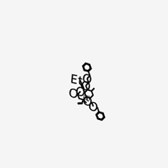 C=CC1(C)CC(=O)OC2(C#CCC)C(OCOCc3ccccc3)C(C)CC[C@]12OCOCc1ccccc1